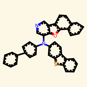 c1ccc(-c2ccc(N(c3ccc4c(c3)sc3ccccc34)c3cncc4c3oc3c5ccccc5ccc43)cc2)cc1